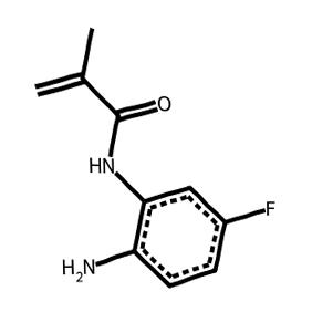 C=C(C)C(=O)Nc1cc(F)ccc1N